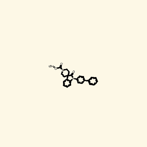 CC(C)(C)OC(=O)N1CCC2(CC1)C(=O)N(c1ccc(-c3ccccc3)cc1)c1ccccc12